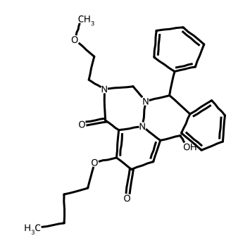 CCCCOc1c2n(c(CO)cc1=O)N(C(c1ccccc1)c1ccccc1)CN(CCOC)C2=O